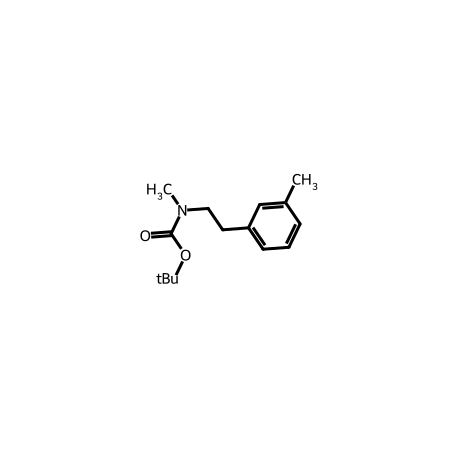 Cc1cccc(CCN(C)C(=O)OC(C)(C)C)c1